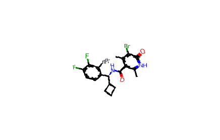 CCCc1c([C@@H](NC(=O)c2c(C)[nH]c(=O)c(Br)c2C)C2CCC2)ccc(F)c1F